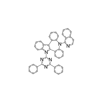 c1ccc(-c2nc(-c3ccccc3)nc(-n3c4c(c5ccccc53)-c3ccccc3N(c3nccc5ccccc35)c3ccccc3-4)n2)cc1